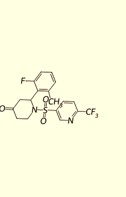 Cc1cccc(F)c1C1CC(=O)CCN1S(=O)(=O)c1ccc(C(F)(F)F)nc1